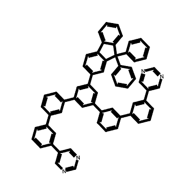 c1ccc(C2(c3ccccc3)c3ccccc3-c3ccc(-c4cc(-c5cccc(-c6cccc(-c7cncnc7)c6)c5)cc(-c5cccc(-c6cccc(-c7cncnc7)c6)c5)c4)cc32)cc1